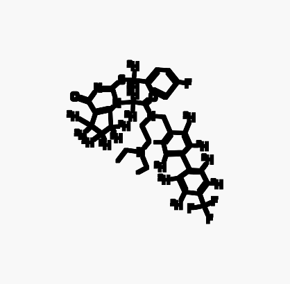 [2H]c1c([2H])c(-c2c([2H])c([2H])c(C(F)(F)F)c([2H])c2[2H])c([2H])c(C)c1CN(CCN(CC)CC)C(=O)C([2H])([2H])n1c(SC([2H])([2H])c2ccc(F)cc2)nc(=O)c2c1C([2H])([2H])C([2H])([2H])C2([2H])[2H]